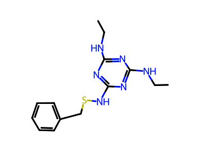 CCNc1nc(NCC)nc(NSCc2ccccc2)n1